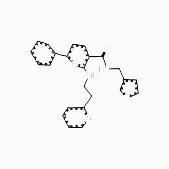 O=C(NCc1ccsc1)c1ccc(-c2ccccc2)nc1NCCc1ccccn1